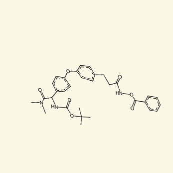 CN(C)C(=O)C(NC(=O)OC(C)(C)C)c1ccc(Oc2ccc(CCC(=O)NOC(=O)c3ccccc3)cc2)cc1